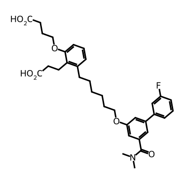 CN(C)C(=O)c1cc(OCCCCCCc2cccc(OCCCC(=O)O)c2CCC(=O)O)cc(-c2cccc(F)c2)c1